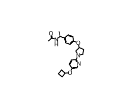 CC(=O)N[C@@H](C)c1ccc(OC2CCN(c3ccc(OC4CCC4)cn3)C2)cc1